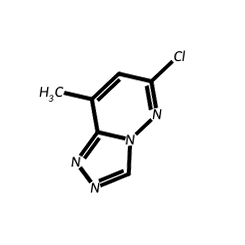 Cc1cc(Cl)nn2cnnc12